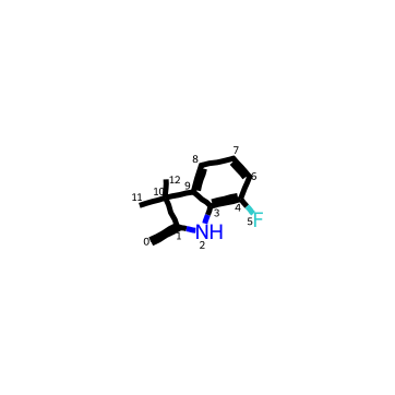 C=C1Nc2c(F)cccc2C1(C)C